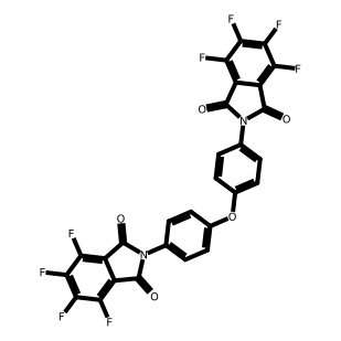 O=C1c2c(F)c(F)c(F)c(F)c2C(=O)N1c1ccc(Oc2ccc(N3C(=O)c4c(F)c(F)c(F)c(F)c4C3=O)cc2)cc1